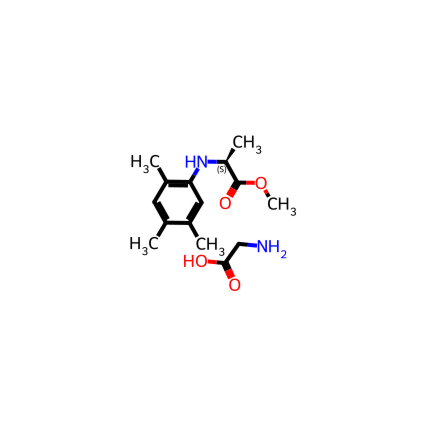 COC(=O)[C@H](C)Nc1cc(C)c(C)cc1C.NCC(=O)O